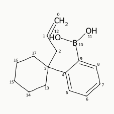 C=CCC1(c2ccccc2B(O)O)CCCCC1